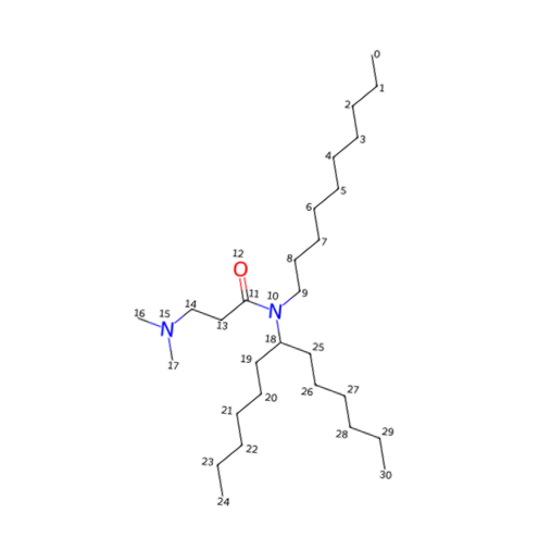 CCCCCCCCCCN(C(=O)CCN(C)C)C(CCCCCC)CCCCCC